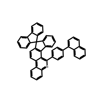 c1ccc2c(c1)-c1ccccc1C21c2ccccc2-c2c1ccc1c2c(-c2ccc(-c3cccc4ccccc34)cc2)nc2ccccc21